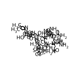 CC1=C2N=C([CH-]C3=NC(=C(C)C4=NC(C)(C5N=C1C(C)(CCC(=O)NCC(C)OP(=O)([O-])OC1C(CO)OC(n6cnc7cc(C)c(C)cc76)C1O)C5CC(N)=O)C(C)(CC(N)=O)C4CCC(N)=O)C(C)(CC(N)=O)C3CCC(N)=O)C(C)(C)C2CCC(N)=O.NC(C[S-])C(=O)O.[Co+3]